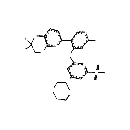 CC(=O)Nc1cc(Nc2cc([C@@H]3COCCO3)cc(S(C)(=O)=O)n2)c(-c2ccc3c(n2)OCC(C)(C)O3)cn1